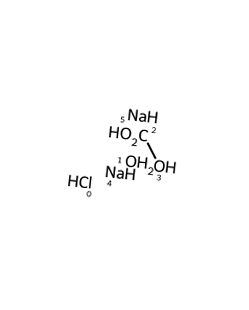 Cl.O.O=C(O)O.[NaH].[NaH]